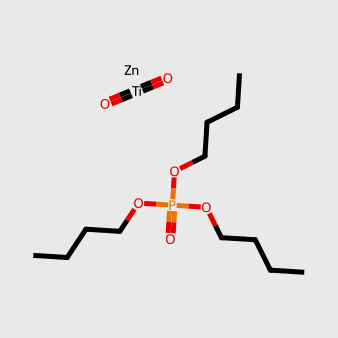 CCCCOP(=O)(OCCCC)OCCCC.[O]=[Ti]=[O].[Zn]